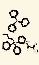 O=C([O-])C(=O)O.[CH2]CCC[P+](c1ccccc1)(c1ccccc1)c1ccccc1.c1ccc(P(c2ccccc2)c2ccccc2)cc1